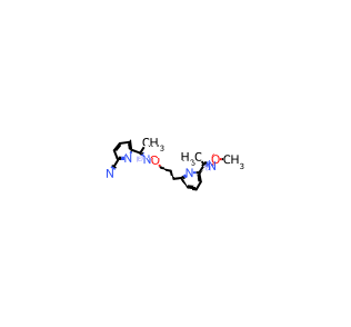 CO/N=C(\C)c1cccc(CCCO/N=C(\C)c2cccc(C#N)n2)n1